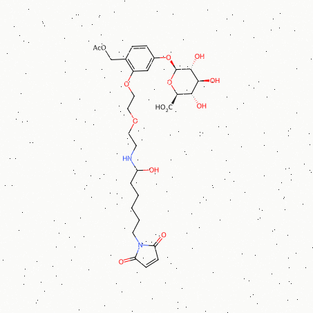 CC(=O)OCc1ccc(O[C@@H]2O[C@H](C(=O)O)[C@@H](O)[C@H](O)[C@H]2O)cc1OCCOCCNC(O)CCCCCN1C(=O)C=CC1=O